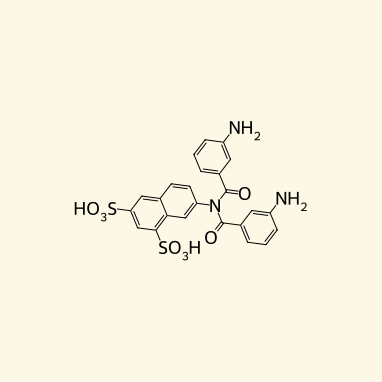 Nc1cccc(C(=O)N(C(=O)c2cccc(N)c2)c2ccc3cc(S(=O)(=O)O)cc(S(=O)(=O)O)c3c2)c1